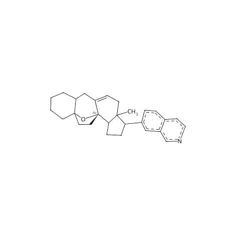 CC12CC=C3CC4CCCCC45CC[C@]3(O5)C1CCC2c1ccc2ccncc2c1